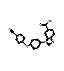 N#Cc1ccc(Oc2ccc(-n3cnc4ccc(C(=O)O)cc43)cc2)cc1